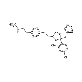 O=C(O)NCCc1ccc(SCC2COC(Cn3ccnc3)(c3ccc(Cl)cc3Cl)O2)cc1